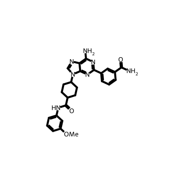 COc1cccc(NC(=O)C2CCC(n3cnc4c(N)nc(-c5cccc(C(N)=O)c5)nc43)CC2)c1